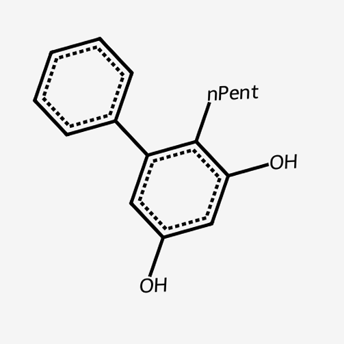 CCCCCc1c(O)cc(O)cc1-c1ccccc1